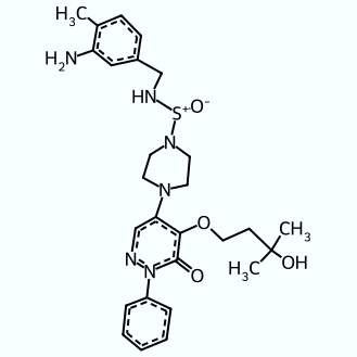 Cc1ccc(CN[S+]([O-])N2CCN(c3cnn(-c4ccccc4)c(=O)c3OCCC(C)(C)O)CC2)cc1N